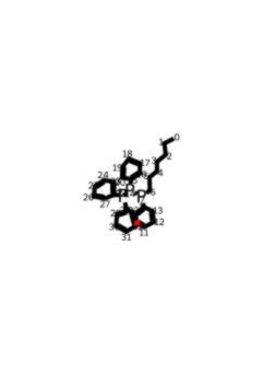 CCCCCCCP(c1ccccc1)P(c1ccccc1)P(c1ccccc1)c1ccccc1